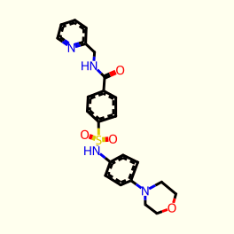 O=C(NCc1ccccn1)c1ccc(S(=O)(=O)Nc2ccc(N3CCOCC3)cc2)cc1